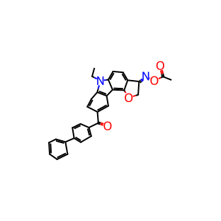 CCn1c2ccc(C(=O)c3ccc(-c4ccccc4)cc3)cc2c2c3c(ccc21)/C(=N/OC(C)=O)CO3